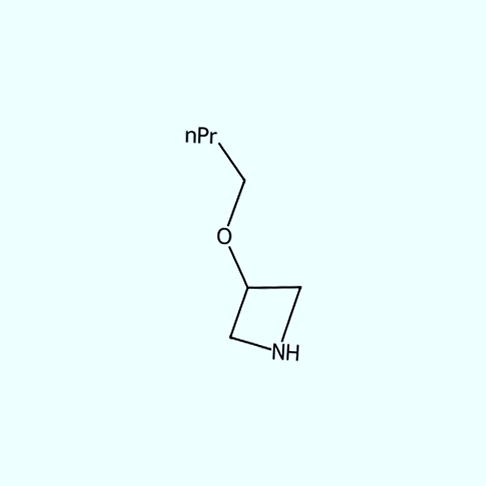 CCCCOC1CNC1